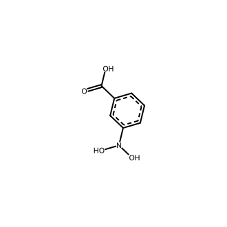 O=C(O)c1cccc(N(O)O)c1